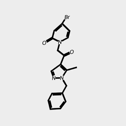 Cc1c(C(=O)Cn2ccc(Br)cc2=O)cnn1Cc1ccccc1